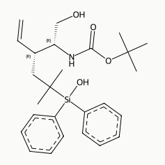 C=C[C@@H](CC(C)(C)[Si](O)(c1ccccc1)c1ccccc1)[C@H](CO)NC(=O)OC(C)(C)C